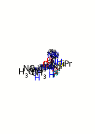 CC(C)Sc1ccc(OC(F)F)c(C2NN(CC(=O)N3CCC(NCC(C)(C)C#N)CC3)C=C2NC(=O)c2cnn3cccnc23)c1